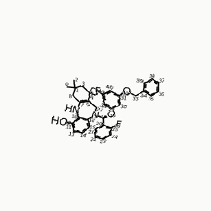 CC1(C)CC(=O)C2=C(C1)Nc1c(O)cccc1N(C(=O)c1ccccc1F)[C@H]2c1ccc(OCc2ccccc2)cc1F